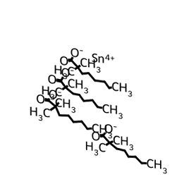 CCCCCCC(C)(C)C(=O)[O-].CCCCCCC(C)(C)C(=O)[O-].CCCCCCC(C)(C)C(=O)[O-].CCCCCCC(C)(C)C(=O)[O-].[Sn+4]